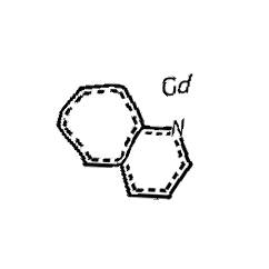 [Gd].c1ccc2ncccc2c1